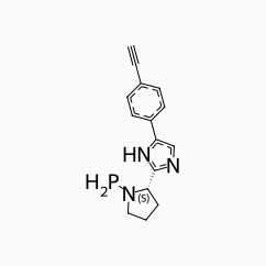 C#Cc1ccc(-c2cnc([C@@H]3CCCN3P)[nH]2)cc1